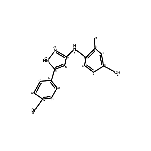 Cc1cc(O)ccc1Nc1cc(-c2ccc(Br)cc2)[nH]n1